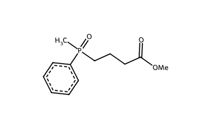 COC(=O)CCCP(C)(=O)c1ccccc1